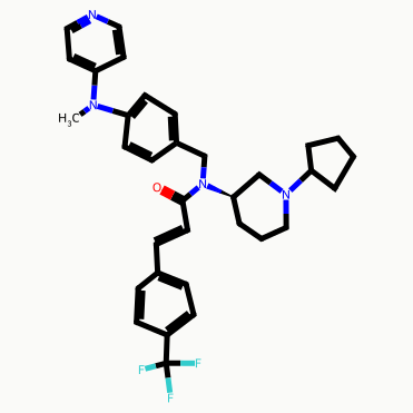 CN(c1ccncc1)c1ccc(CN(C(=O)C=Cc2ccc(C(F)(F)F)cc2)[C@@H]2CCCN(C3CCCC3)C2)cc1